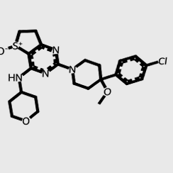 COC1(c2ccc(Cl)cc2)CCN(c2nc3c(c(NC4CCOCC4)n2)[S+]([O-])CC3)CC1